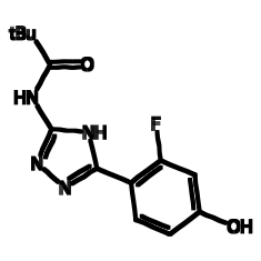 CC(C)(C)C(=O)Nc1nnc(-c2ccc(O)cc2F)[nH]1